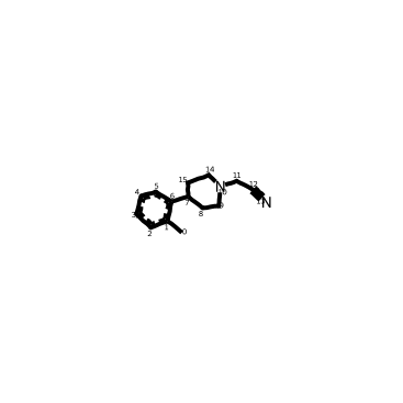 Cc1c[c]ccc1C1CCN(CC#N)CC1